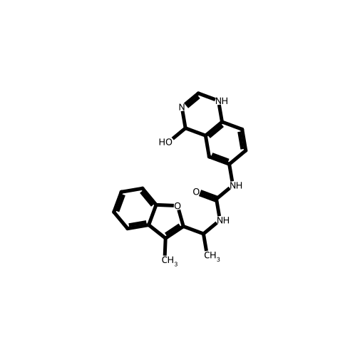 Cc1c(C(C)NC(=O)Nc2ccc3c(c2)C(O)N=CN3)oc2ccccc12